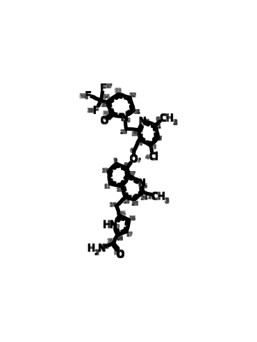 Cc1cc(Cl)c(COc2cccc3c(Cc4ccc(C(N)=O)[nH]4)cc(C)nc23)c(Cn2cccc(C(F)(F)F)c2=O)n1